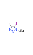 Cc1nnn(C(C)(C)C)c1I